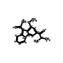 COc1cc(C(=O)N(C)C)cc2c1c(C(=O)O)c1ccccn12